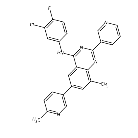 Cc1ccc(-c2cc(C)c3nc(-c4cccnc4)nc(Nc4ccc(F)c(Cl)c4)c3c2)cn1